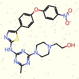 Cc1nc(Nc2ncc(-c3ccc(Oc4ccc([N+](=O)[O-])cc4)cc3)s2)nc(N2CCN(CCO)CC2)n1